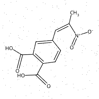 CC(=Cc1ccc(C(=O)O)c(C(=O)O)c1)[N+](=O)[O-]